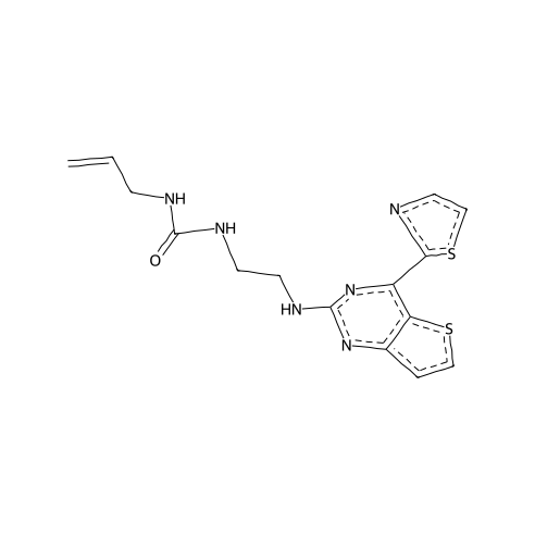 C=CCNC(=O)NCCNc1nc(-c2nccs2)c2sccc2n1